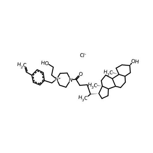 C=Cc1ccc(C[N+]2(CCO)CCN(C(=O)CCC(C)[C@H]3CCC4C5CCC6C[C@H](O)CC[C@]6(C)C5CC[C@@]43C)CC2)cc1.[Cl-]